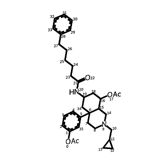 CC(=O)Oc1cccc(C23CCN(CC4CC4)CC2C(OC(C)=O)CC(NC(=O)CCCCCc2ccccc2)C3)c1